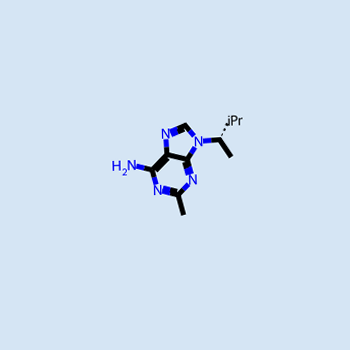 Cc1nc(N)c2ncn([C@@H](C)C(C)C)c2n1